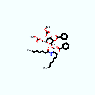 CCCCCCCCCCCCC/C=C/[C@@H](OC(=O)c1ccccc1)[C@H](CO[C@@]1(C)O[C@H](COC(=O)OC(C)(C)C)[C@H](OC(=O)OC(C)(C)C)[C@H](O)[C@H]1OC(=O)c1ccccc1)NC(=O)CCCCCCCCCCCCCCC